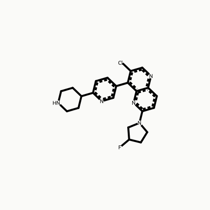 FC1CCN(c2ccc3ncc(Cl)c(-c4ccc(C5CCNCC5)nc4)c3n2)C1